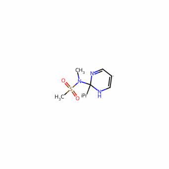 CC(C)C1(N(C)S(C)(=O)=O)N=C[C]=CN1